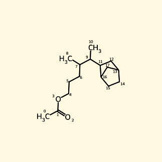 CC(=O)OCCCC(C)C(C)C1CC2CCC1C2